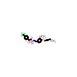 CCC#CCOc1ccc(CCNC(=O)C(O)c2ccc(C(F)(F)F)cc2)cc1OC